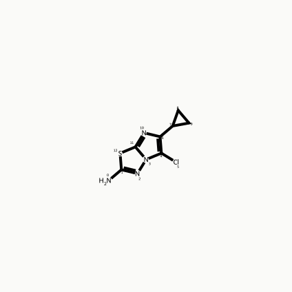 Nc1nn2c(Cl)c(C3CC3)nc2s1